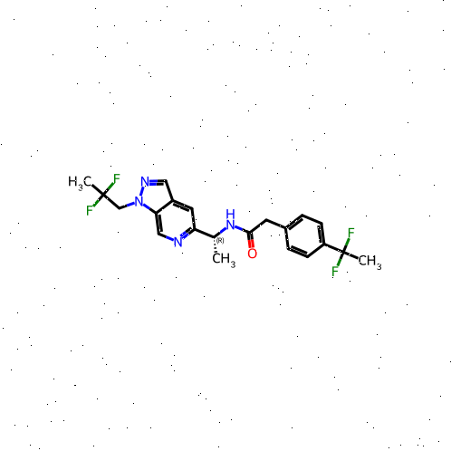 C[C@@H](NC(=O)Cc1ccc(C(C)(F)F)cc1)c1cc2cnn(CC(C)(F)F)c2cn1